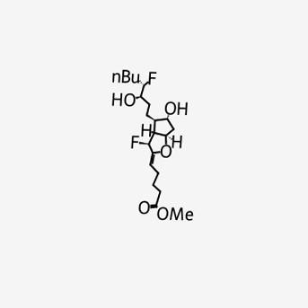 CCCC[C@H](F)[C@H](O)CC[C@@H]1[C@H]2[C@H](F)/C(=C/CCCC(=O)OC)O[C@@H]2C[C@H]1O